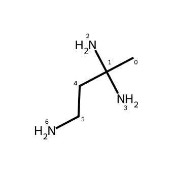 CC(N)(N)CCN